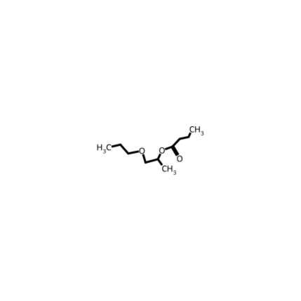 CCCOCC(C)OC(=O)CCC